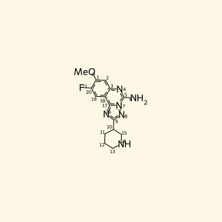 COc1cc2nc(N)n3nc(C4CCCNC4)nc3c2cc1F